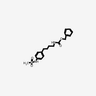 CS(=O)(=O)Nc1ccc(CCCCNC(=O)OCc2ccccc2)cc1